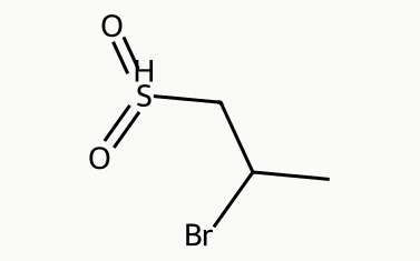 CC(Br)C[SH](=O)=O